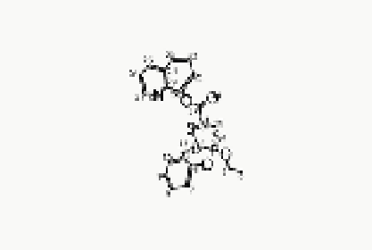 CCOP(=S)(Oc1ccccc1)N(C)SN(C)C(=O)Oc1cccc2cccnc12